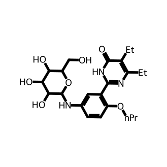 CCCOc1ccc(NC2OC(CO)C(O)C(O)C2O)cc1-c1nc(CC)c(CC)c(=O)[nH]1